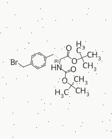 CC(C)(C)OC(=O)N[C@H](Cc1ccc(CBr)cc1)C(=O)OC(C)(C)C